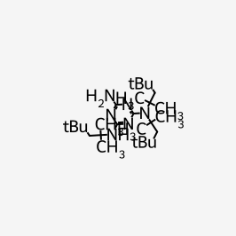 CC(C)(C)CC(C)(C)Nc1nc(N)nc(N(C(C)(C)CC(C)(C)C)C(C)(C)CC(C)(C)C)n1